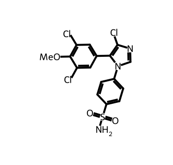 COc1c(Cl)cc(-c2c(Cl)ncn2-c2ccc(S(N)(=O)=O)cc2)cc1Cl